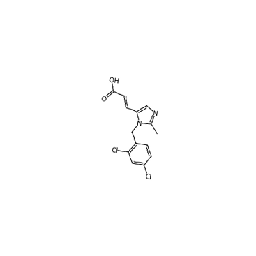 Cc1ncc(C=CC(=O)O)n1Cc1ccc(Cl)cc1Cl